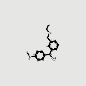 CCOCc1cccc(C(O)c2ccc(OC)cc2)c1